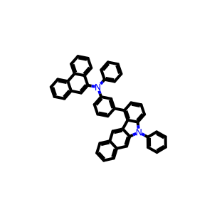 c1ccc(N(c2cccc(-c3cccc4c3c3cc5ccccc5cc3n4-c3ccccc3)c2)c2cc3ccccc3c3ccccc23)cc1